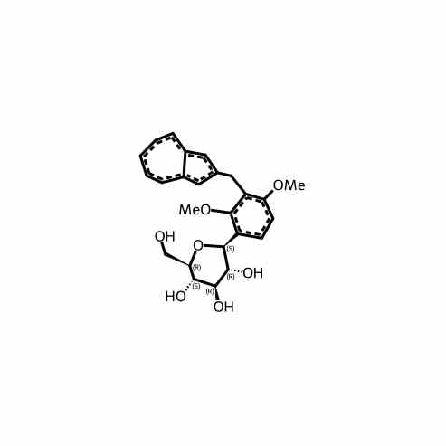 COc1ccc([C@@H]2O[C@H](CO)[C@@H](O)[C@H](O)[C@H]2O)c(OC)c1Cc1cc2cccccc-2c1